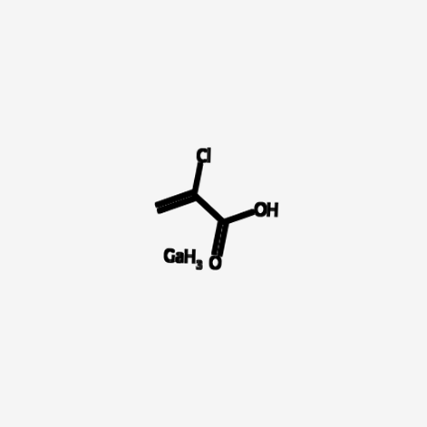 C=C(Cl)C(=O)O.[GaH3]